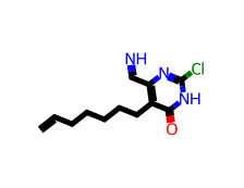 C=CCCCCCc1c(C=N)nc(Cl)[nH]c1=O